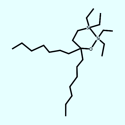 CCCCCCCC1(CCCCCCC)CC[Si](CC)(CC)[Si](CC)(CC)O1